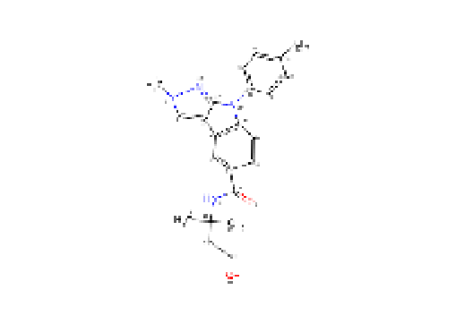 Cn1cc2c3cc(C(=O)NC(C)(C)CCO)ccc3n(-c3ccc(C(F)(F)F)cc3)c2n1